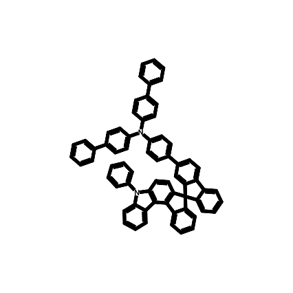 c1ccc(-c2ccc(N(c3ccc(-c4ccccc4)cc3)c3ccc(-c4ccc5c(c4)C4(c6ccccc6-5)c5ccccc5-c5c4ccc4c5c5ccccc5n4-c4ccccc4)cc3)cc2)cc1